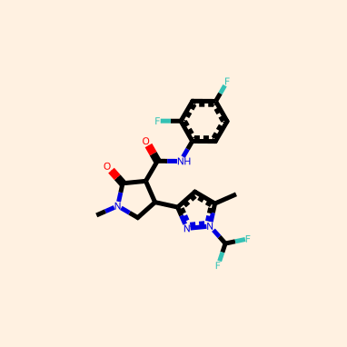 Cc1cc(C2CN(C)C(=O)C2C(=O)Nc2ccc(F)cc2F)nn1C(F)F